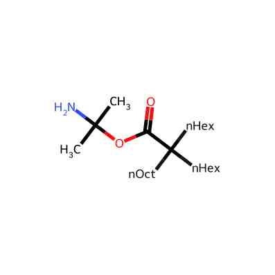 CCCCCCCCC(CCCCCC)(CCCCCC)C(=O)OC(C)(C)N